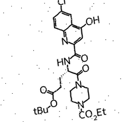 CCOC(=O)N1CCN(C(=O)[C@H](CCC(=O)OC(C)(C)C)NC(=O)c2cc(O)c3cc(Cl)ccc3n2)CC1